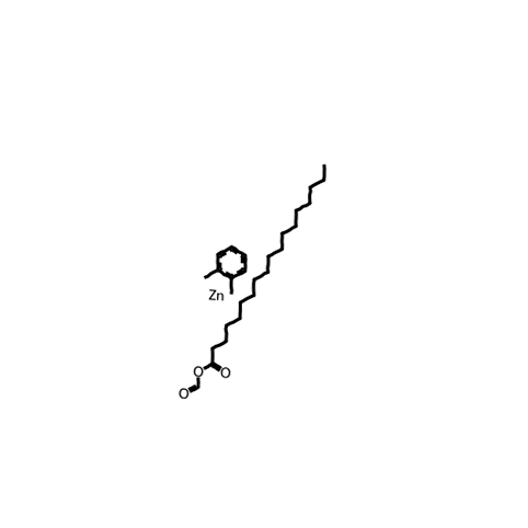 CCCCCCCCCCCCCCCCCC(=O)OC=O.Cc1ccccc1C.[Zn]